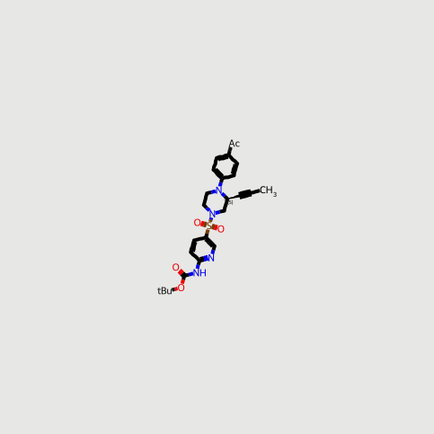 CC#C[C@H]1CN(S(=O)(=O)c2ccc(NC(=O)OC(C)(C)C)nc2)CCN1c1ccc(C(C)=O)cc1